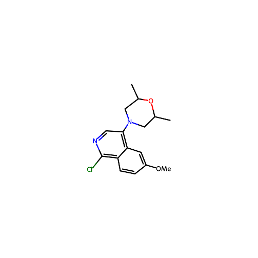 COc1ccc2c(Cl)ncc(N3CC(C)OC(C)C3)c2c1